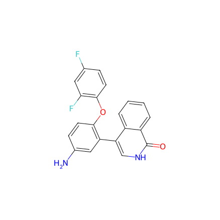 Nc1ccc(Oc2ccc(F)cc2F)c(-c2c[nH]c(=O)c3ccccc23)c1